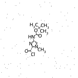 Cn1cc(NC(=O)OC(C)(C)C)nc1C(=O)Cl